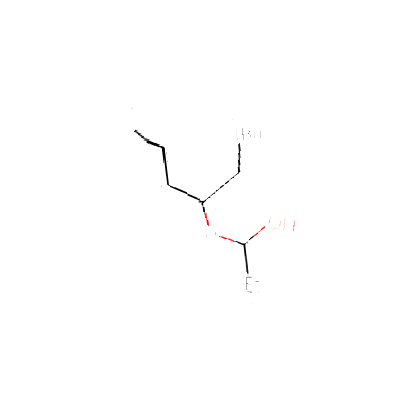 CCC(O)OC(CCC(C)C)CC(C)(C)C